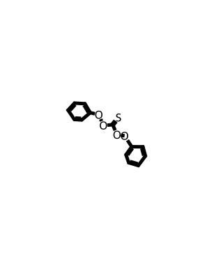 S=C(OOc1ccccc1)OOc1ccccc1